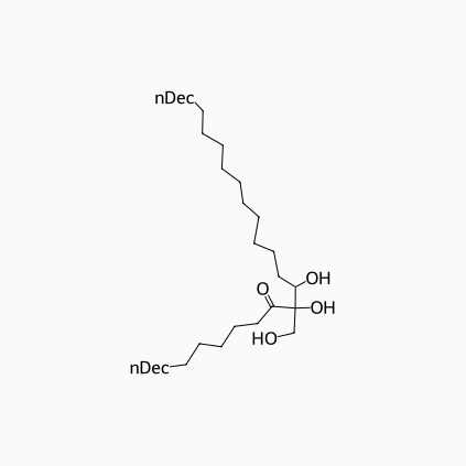 CCCCCCCCCCCCCCCCCCCCC(O)C(O)(CO)C(=O)CCCCCCCCCCCCCCC